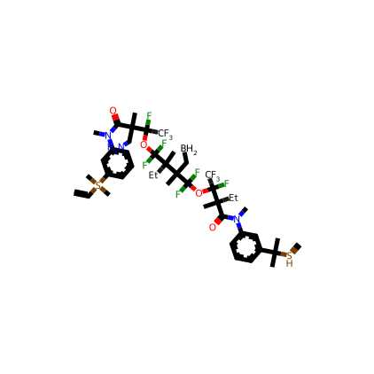 BCC(C)(C(F)(F)OC(F)(C(F)(F)F)C(C)(CC)C(=O)N(C)c1cccc(C(C)(C)[SH]=C)c1)C(C)(CC)C(F)(F)OC(F)(C(F)(F)F)C(C)(CN)C(=O)N(C)c1cccc(S(C)(C)C=C)c1